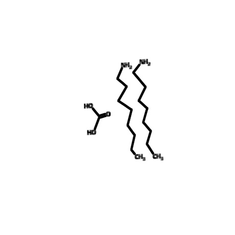 CCCCCCCCN.CCCCCCCCN.O=C(O)O